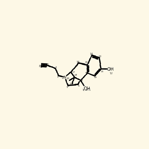 C#CCCN1CCC2(O)c3cc(O)ccc3CC1C2(C)C